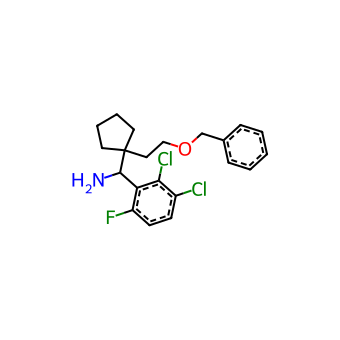 NC(c1c(F)ccc(Cl)c1Cl)C1(CCOCc2ccccc2)CCCC1